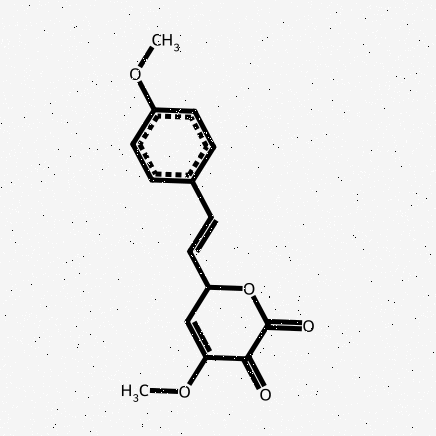 COC1=CC(C=Cc2ccc(OC)cc2)OC(=O)C1=O